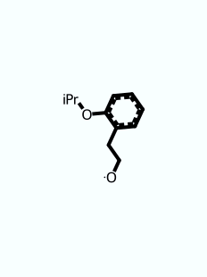 CC(C)Oc1ccccc1CC[O]